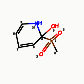 CS(=O)(=O)C1(O)C=CC=CN1